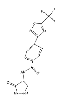 O=C(NC1CNNC1=O)c1ccc(-c2noc(C(F)(F)F)n2)cc1